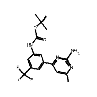 Cc1cc(-c2cc(NC(=O)OC(C)(C)C)cc(C(F)(F)F)c2)nc(N)n1